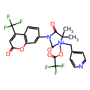 CC1(C)C(=O)N(c2ccc3c(C(F)(F)F)cc(=O)oc3c2)C(=O)[N+]1(Cc1ccncc1)OC(=O)C(F)(F)F